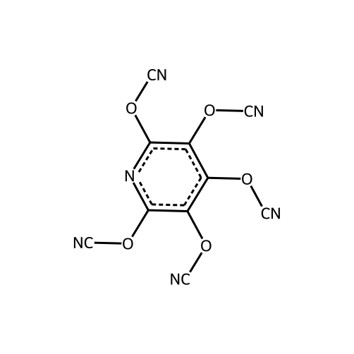 N#COc1nc(OC#N)c(OC#N)c(OC#N)c1OC#N